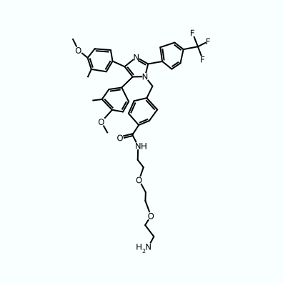 COc1ccc(-c2nc(-c3ccc(C(F)(F)F)cc3)n(Cc3ccc(C(=O)NCCOCCOCCN)cc3)c2-c2ccc(OC)c(C)c2)cc1C